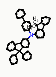 CC1(C)c2ccccc2-c2cccc(N(c3ccc(-c4ccccc4)cc3)c3ccc4c(c3)-c3ccccc3C4(c3ccccc3)c3ccccc3)c21